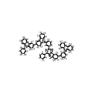 c1ccc(-c2nc(-c3cccc(-n4c5ccccc5c5cc(-c6ccc7c(c6)c6ccccc6n7-c6ccccc6)ccc54)c3)nc3c2sc2ccc(-c4cccc(-n5c6ccccc6c6ccccc65)c4)cc23)cc1